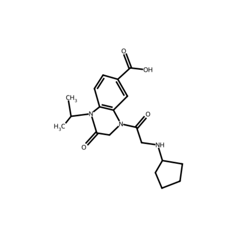 CC(C)N1C(=O)CN(C(=O)CNC2CCCC2)c2cc(C(=O)O)ccc21